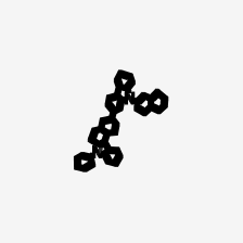 C1=CC2c3c(n(-c4ccccc4)c4ccccc34)C=CC2C=C1c1ccc2c3ccccc3n(-c3ccc4ccccc4c3)c2c1